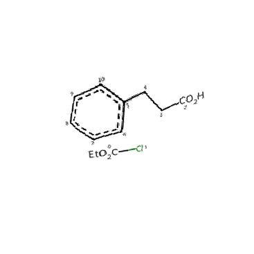 CCOC(=O)Cl.O=C(O)CCc1ccccc1